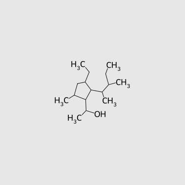 CCC(C)C(C)C1C(CC)CC(C)C1C(C)O